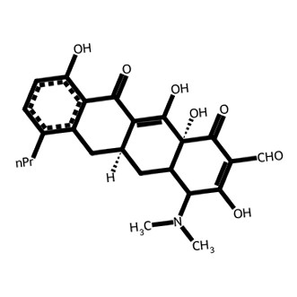 CCCc1ccc(O)c2c1C[C@@H]1CC3C(N(C)C)C(O)=C(C=O)C(=O)[C@]3(O)C(O)=C1C2=O